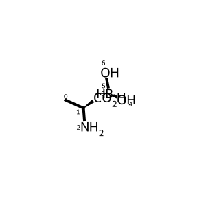 C[C@H](N)C(=O)O.OBO